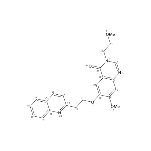 COCCn1cnc2cc(OC)c(OCCc3ccc4ccccc4n3)cc2c1=O